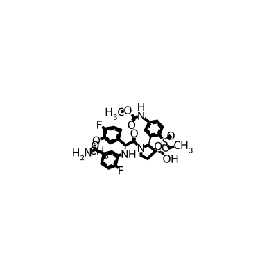 CCS(=O)(=O)c1ccc(NC(=O)OC)cc1[C@H]1[C@H](C(=O)O)CCN1C(=O)[C@H](Nc1cc(C(N)=O)ccc1F)c1ccc(F)c(OC)c1